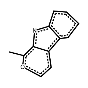 Cc1occc2c3ccccc3nc1-2